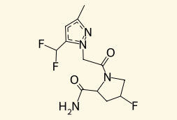 Cc1cc(C(F)F)n(CC(=O)N2CC(F)CC2C(N)=O)n1